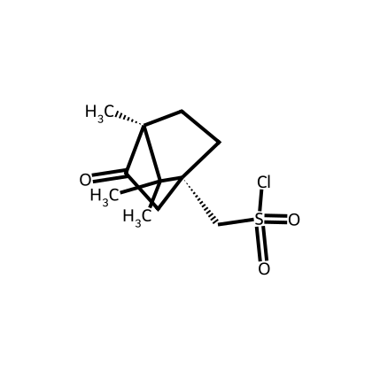 CC1(C)[C@@]2(CS(=O)(=O)Cl)CC[C@]1(C)C(=O)C2